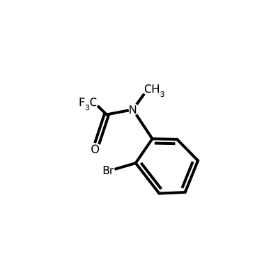 CN(C(=O)C(F)(F)F)c1ccccc1Br